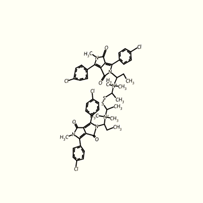 CCC(N1C(=O)C2=C(c3ccc(Cl)cc3)N(C)C(=O)C2=C1c1ccc(Cl)cc1)[N+](C)(C)C(C)SSC(C)[N+](C)(C)C(CC)N1C(=O)C2=C(c3ccc(Cl)cc3)N(C)C(=O)C2=C1c1ccc(Cl)cc1